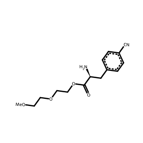 COCCOCCOC(=O)[C@@H](N)Cc1ccc(C#N)cc1